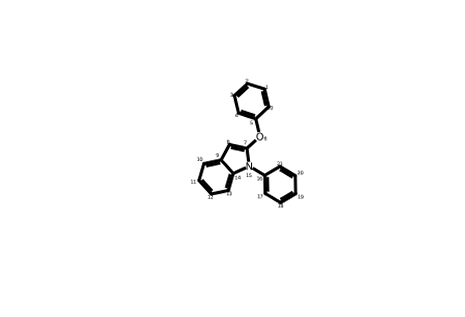 [c]1ccccc1Oc1cc2ccccc2n1-c1ccccc1